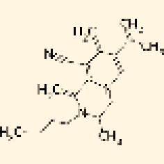 C=C(C)C1=CN2CC(C)N(CCCC)C(=C)C2=C(C#N)C1=C